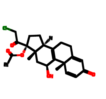 CCC(=O)O[C@]1(C(=O)CCl)CC[C@H]2C3=C([C@@H](O)C[C@@]21C)[C@@]1(C)C=CC(=O)C=C1CC3